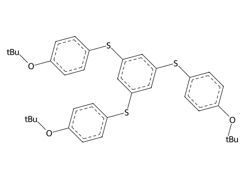 CC(C)(C)Oc1ccc(Sc2cc(Sc3ccc(OC(C)(C)C)cc3)cc(Sc3ccc(OC(C)(C)C)cc3)c2)cc1